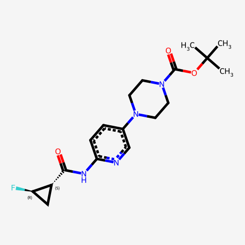 CC(C)(C)OC(=O)N1CCN(c2ccc(NC(=O)[C@@H]3C[C@H]3F)nc2)CC1